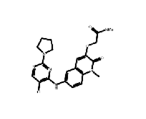 CNC(=O)COc1cc2cc(Nc3nc(N4CCCC4)ncc3Cl)ccc2n(C)c1=O